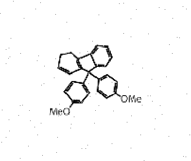 COc1ccc(C2(c3ccc(OC)cc3)C3=C(CCC=C3)c3ccccc32)cc1